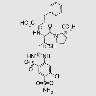 NS(=O)(=O)c1cc2c(cc1Cl)N[C@@H](C[C@H](S)C(N[C@@H](CCc1ccccc1)C(=O)O)C(=O)N1CCC[C@H]1C(=O)O)NS2(=O)=O